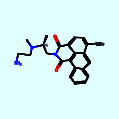 COc1ccc2c3c(c4ccccc4cc13)C(=O)N(C[C@H](C)N(C)CCN)C2=O